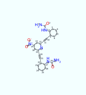 NC(=O)Nc1ccccc1C#Cc1cc([N+](=O)[O-])cc(C#Cc2ccccc2NC(N)=O)n1